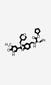 Cc1cc(-c2nc3ccc(CN[C@@H](CC(C)C)C(=O)OC4CCCC4)cc3n2CC2CCOCC2)c[nH]c1=O